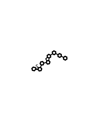 c1ccc(-c2ccc(-c3cccc(-c4ccc5c(c4)-c4cccc(-c6cccc(-c7cccc8c7sc7ccccc78)c6)c4C5)c3)cc2)cc1